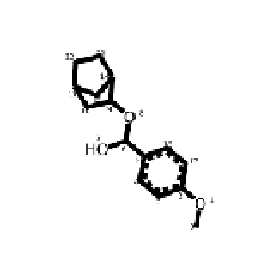 COc1ccc(C(O)OC2CC3CCC2C3)cc1